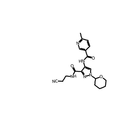 Cc1ccc(C(=O)Nc2cn(C3CCCCO3)nc2C(=O)NCCC#N)cn1